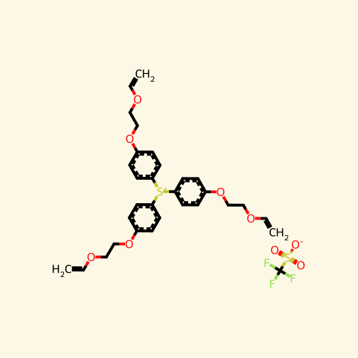 C=COCCOc1ccc([S+](c2ccc(OCCOC=C)cc2)c2ccc(OCCOC=C)cc2)cc1.O=S(=O)([O-])C(F)(F)F